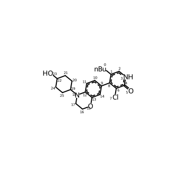 CCCCc1c[nH]c(=O)c(Cl)c1-c1ccc2c(c1)OCCN2C1CCC(O)CC1